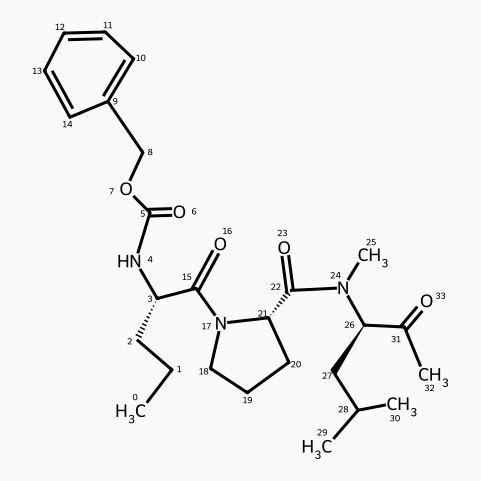 CCC[C@H](NC(=O)OCc1ccccc1)C(=O)N1CCC[C@H]1C(=O)N(C)[C@H](CC(C)C)C(C)=O